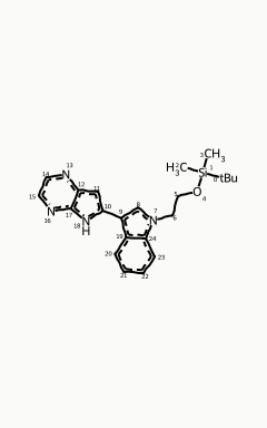 CC(C)(C)[Si](C)(C)OCCn1cc(-c2cc3nccnc3[nH]2)c2ccccc21